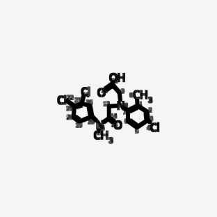 Cc1cc(Cl)ccc1N(CC(=O)O)CC(=O)N(C)c1ccc(Cl)c(Cl)c1